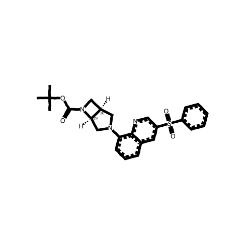 CC(C)(C)OC(=O)N1C[C@H]2CN(c3cccc4cc(S(=O)(=O)c5ccccc5)cnc34)C[C@H]21